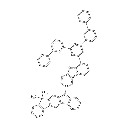 CC1(C)c2ccccc2-c2cc3c4ccccc4n(-c4ccc5oc6c(-c7nc(-c8cccc(-c9ccccc9)c8)nc(-c8cccc(-c9ccccc9)c8)n7)cccc6c5c4)c3cc21